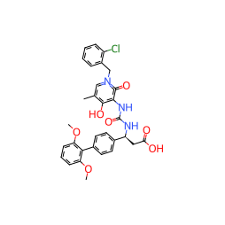 COc1cccc(OC)c1-c1ccc([C@H](CC(=O)O)NC(=O)Nc2c(O)c(C)cn(Cc3ccccc3Cl)c2=O)cc1